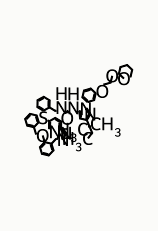 CCC(C)(C)c1cc(NC(=O)NCc2ccccc2Sc2ccc3nnc(-c4ccccc4OCc4ccccc4)n3c2)n(-c2cccc(OCCOC3CCCCO3)c2)n1